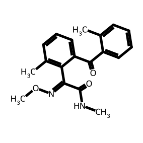 CNC(=O)/C(=N/OC)c1c(C)cccc1C(=O)c1ccccc1C